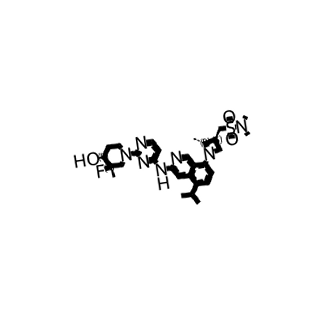 CC(C)c1ccc(N2C[C@H](CS(=O)(=O)N(C)C)[C@H]2C)c2cnc(Nc3ccnc(N4CC[C@@H](O)[C@@](C)(F)C4)n3)cc12